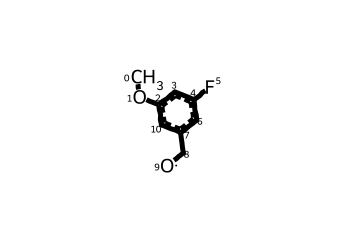 COc1cc(F)cc(C[O])c1